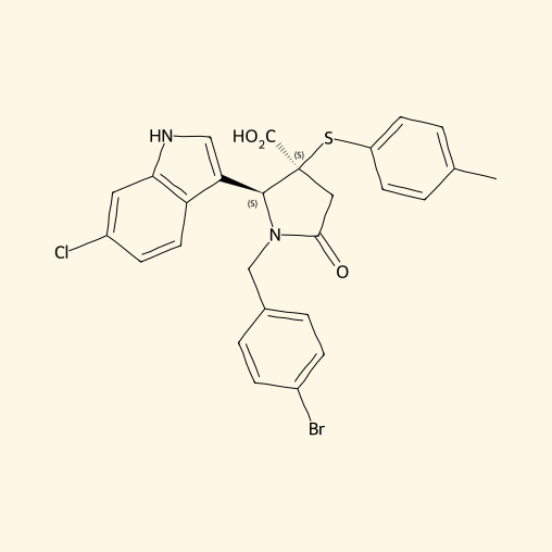 Cc1ccc(S[C@@]2(C(=O)O)CC(=O)N(Cc3ccc(Br)cc3)[C@H]2c2c[nH]c3cc(Cl)ccc23)cc1